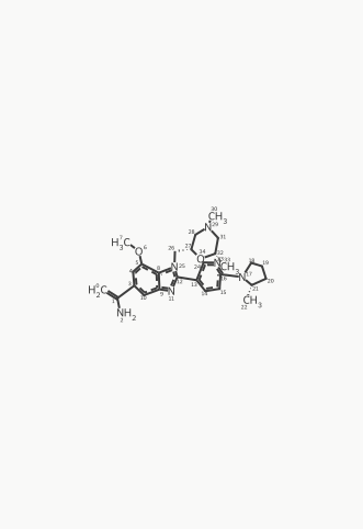 C=C(N)c1cc(OC)c2c(c1)nc(-c1ccc(N3CCC[C@@H]3C)nc1)n2C[C@@H]1CN(C)C[C@H](C)O1